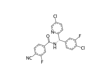 N#Cc1ccc(C(=O)N[C@@H](c2ccc(Cl)c(F)c2)c2ccc(Cl)cn2)cc1F